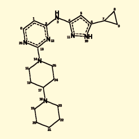 c1cc(Nc2cc(C3CC3)[nH]n2)nc(N2CCC(N3CCCCC3)CC2)n1